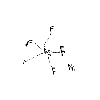 F[As](F)(F)(F)F.[N]